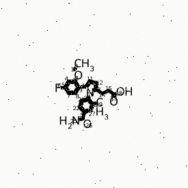 CCOc1cc(F)ccc1-c1ccc(CCC(=O)O)n1-c1ccc(C(N)=O)cc1C